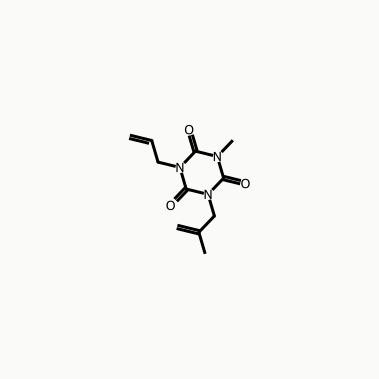 C=CCn1c(=O)n(C)c(=O)n(CC(=C)C)c1=O